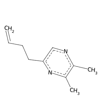 C=CCCc1cnc(C)c(C)n1